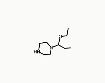 CCOC(CC)N1CCNCC1